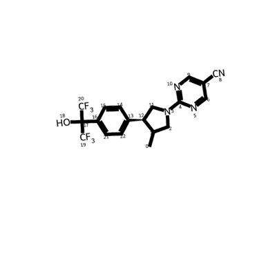 CC1CN(c2ncc(C#N)cn2)C[C@@H]1c1ccc(C(O)(C(F)(F)F)C(F)(F)F)cc1